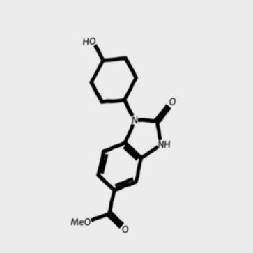 COC(=O)c1ccc2c(c1)[nH]c(=O)n2C1CCC(O)CC1